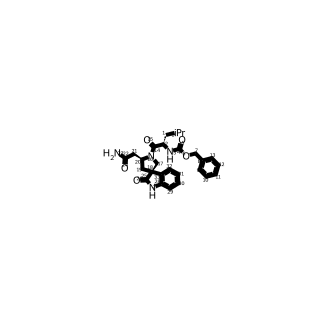 CC(C)C[C@H](NC(=O)OCc1ccccc1)C(=O)N1C[C@]2(C[C@H]1CC(N)=O)C(=O)Nc1ccccc12